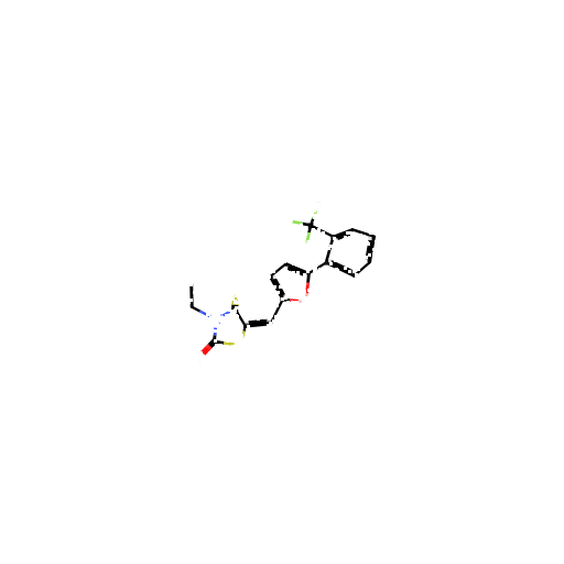 CCN1C(=O)SC(=Cc2ccc(-c3ccccc3C(F)(F)F)o2)C1=S